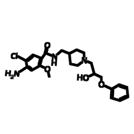 COc1cc(N)c(Cl)cc1C(=O)NCC1CCN(CC(O)COc2ccccc2)CC1